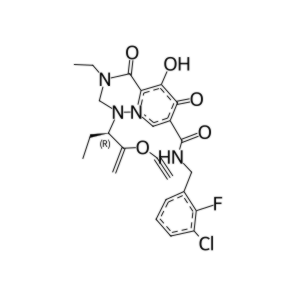 C#COC(=C)[C@@H](CC)N1CN(CC)C(=O)c2c(O)c(=O)c(C(=O)NCc3cccc(Cl)c3F)cn21